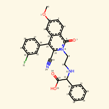 COc1ccc2c(=O)n(CCNC(C(=O)O)c3ccccc3)c(C#N)c(-c3cccc(F)c3)c2c1